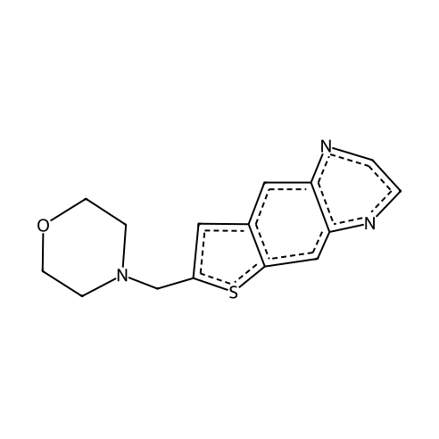 c1cnc2cc3sc(CN4CCOCC4)cc3cc2n1